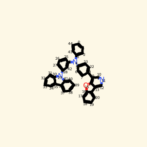 c1ccc(N(c2ccc(-c3cncc4c3oc3ccccc34)cc2)c2cccc(-n3c4ccccc4c4ccccc43)c2)cc1